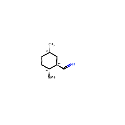 CN[C@@H]1CC[C@H](C)C[C@H]1C=N